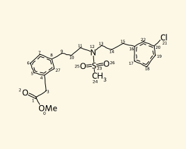 COC(=O)Cc1cccc(CCCN(CCCc2cccc(Cl)c2)S(C)(=O)=O)c1